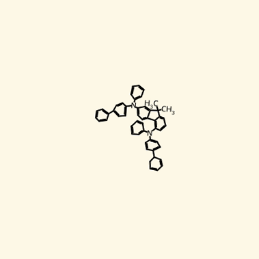 CC1(C)c2cc(N(c3ccccc3)c3ccc(-c4ccccc4)cc3)ccc2-c2c(N(c3ccccc3)c3ccc(C4C=CC=CC4)cc3)cccc21